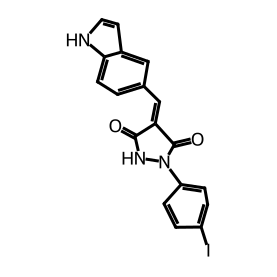 O=C1NN(c2ccc(I)cc2)C(=O)C1=Cc1ccc2[nH]ccc2c1